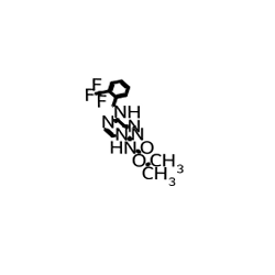 CC(C)OC(=O)Nc1nnc2c(NCc3ccccc3C(F)(F)F)nccn12